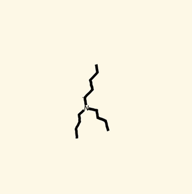 CCCC[CH]N(CCCC)CCCC